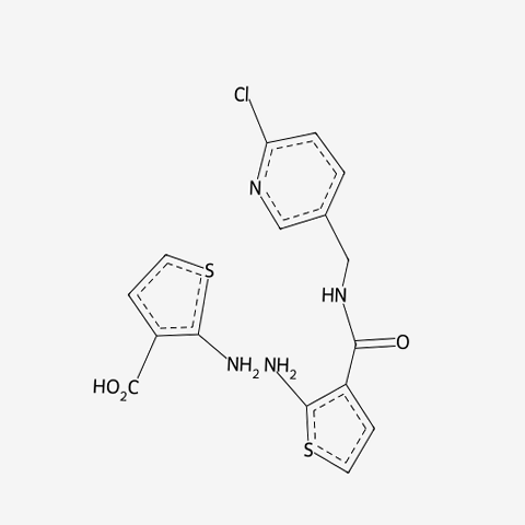 Nc1sccc1C(=O)NCc1ccc(Cl)nc1.Nc1sccc1C(=O)O